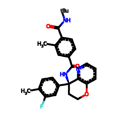 Cc1ccc([C@@]2(NC(=O)c3ccc(C(=O)NC(C)(C)C)c(C)c3)CCOc3cccnc32)cc1F